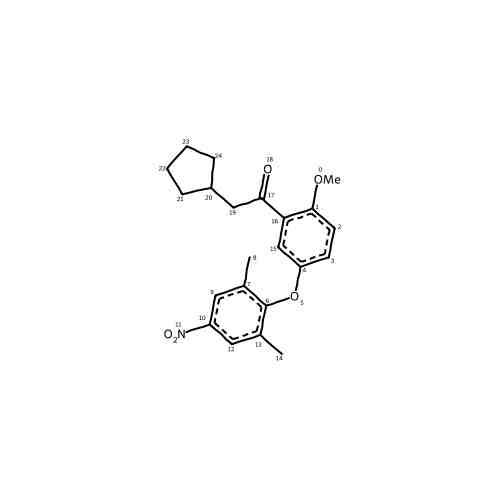 COc1ccc(Oc2c(C)cc([N+](=O)[O-])cc2C)cc1C(=O)CC1CCCC1